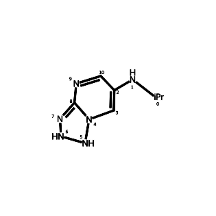 CC(C)NC1=CN2NNN=C2N=C1